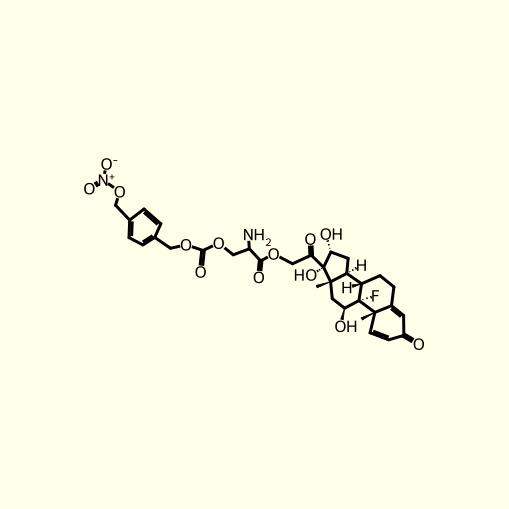 C[C@]12C=CC(=O)C=C1CC[C@H]1[C@@H]3C[C@@H](O)[C@](O)(C(=O)COC(=O)C(N)COC(=O)OCc4ccc(CO[N+](=O)[O-])cc4)[C@@]3(C)C[C@H](O)[C@@]12F